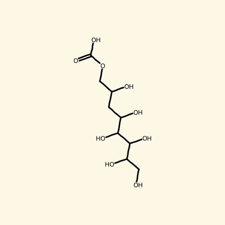 O=C(O)OCC(O)CC(O)C(O)C(O)C(O)CO